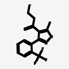 [CH2]CCC(=O)c1c(-c2ccccc2C(F)(F)F)noc1C